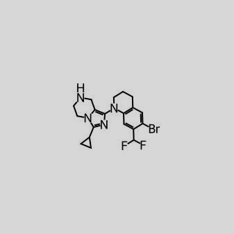 FC(F)c1cc2c(cc1Br)CCCN2c1nc(C2CC2)n2c1CNCC2